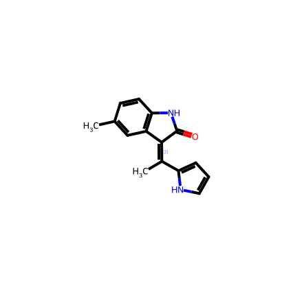 C/C(=C1/C(=O)Nc2ccc(C)cc21)c1ccc[nH]1